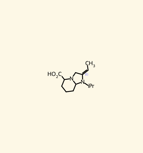 C/C=C1\CN2C(C(=O)O)CCCC2N1C(C)C